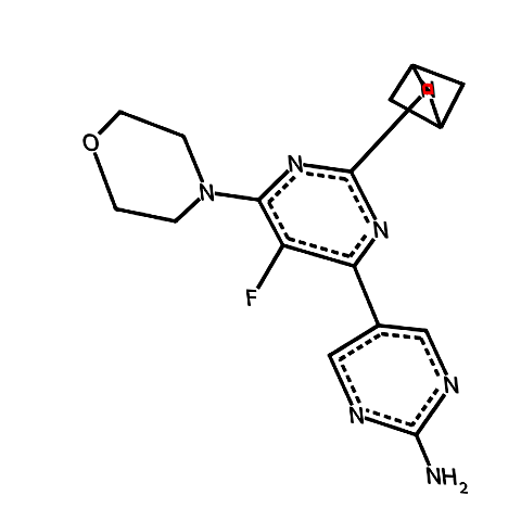 Nc1ncc(-c2nc(N3CC4CC3C4)nc(N3CCOCC3)c2F)cn1